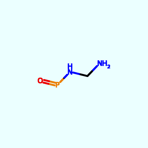 NCNP=O